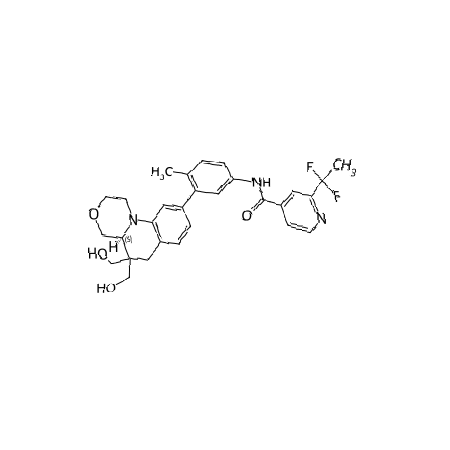 Cc1ccc(NC(=O)c2ccnc(C(C)(F)F)c2)cc1-c1ccc2c(c1)N1CCOC[C@@H]1C(CO)(CO)C2